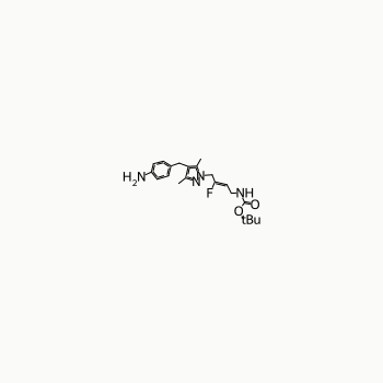 Cc1nn(CC(F)=CCNC(=O)OC(C)(C)C)c(C)c1Cc1ccc(N)cc1